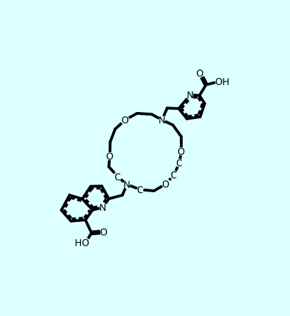 O=C(O)c1cccc(CN2CCOCCOCCN(Cc3ccc4cccc(C(=O)O)c4n3)CCOCCOCC2)n1